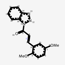 COc1ccc(OC)c(/C=C/C(=O)n2nnc3ccccc32)c1